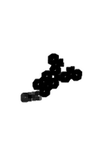 CC1(C)c2ccccc2-c2ccc(N(c3ccc4c(c3)C(C)(C)c3ccccc3-4)c3ccc4c(c3)C3(c5ccccc5-c5ccccc53)c3cc(C=O)ccc3-4)cc21